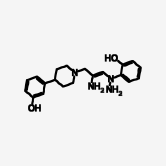 N/C(=C\N(N)c1ccccc1O)CN1CCC(c2cccc(O)c2)CC1